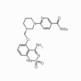 CNC(=O)c1ccc(N2CCC[C@H](COc3cccc4c3C(N)=NS(=O)(=O)N4)C2)nc1